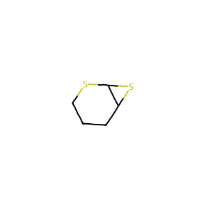 C1CSC2SC2C1